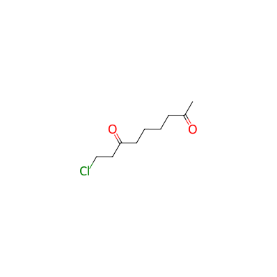 CC(=O)CCCCC(=O)CCCl